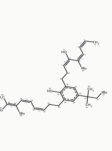 C\C=C/C=C(\C(O)=C/CCc1cc(C(C)(C)CC(C)(C)C)cc(CC\C=C/C=C\C(=C(/C)O)C(C)(C)C)c1O)C(C)(C)C